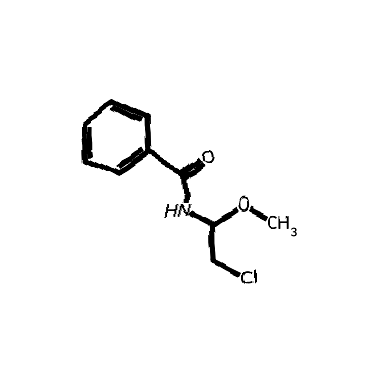 COC(CCl)NC(=O)c1ccccc1